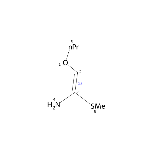 CCCO/C=C(\N)SC